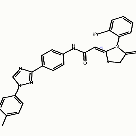 Cc1ccc(-n2cnc(-c3ccc(NC(=O)/C=C4\SCC(=O)N4c4ccccc4C(C)C)cc3)n2)cc1